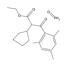 CCOC(=O)C(C(=O)c1c(C)cc(C)cc1C)C1CCCC1.O=[PH3]